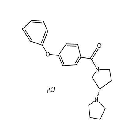 Cl.O=C(c1ccc(Oc2ccccc2)cc1)N1CC[C@H](N2CCCC2)C1